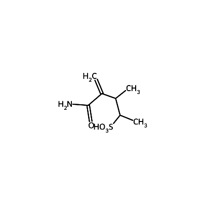 C=C(C(N)=O)C(C)C(C)S(=O)(=O)O